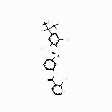 Cc1cc(C(F)(C(F)(F)F)C(F)(F)F)cc(C)c1NS(=O)(=O)c1cccc(NC(=O)c2cccnc2Cl)c1